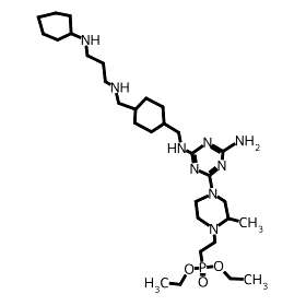 CCOP(=O)(CCN1CCN(c2nc(N)nc(NCC3CCC(CNCCCNC4CCCCC4)CC3)n2)CC1C)OCC